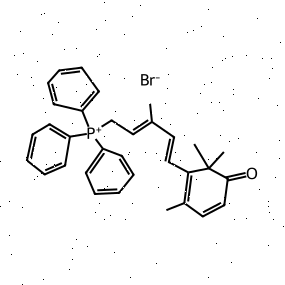 CC(C=CC1=C(C)C=CC(=O)C1(C)C)=CC[P+](c1ccccc1)(c1ccccc1)c1ccccc1.[Br-]